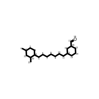 CC1CCC(CCCCCCCC2CCCC(C=O)C2)C(C)C1